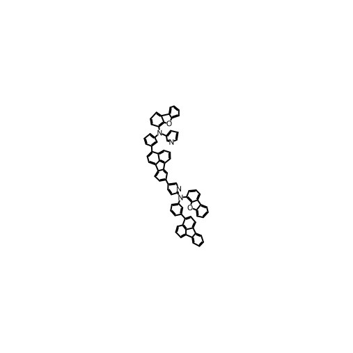 c1cncc(N(c2cccc(-c3ccc4c5c(cccc35)-c3cc(-c5ccc(N(c6cccc(-c7ccc8c9c(cccc79)-c7ccccc7-8)c6)c6cccc7c6oc6ccccc67)nc5)ccc3-4)c2)c2cccc3c2oc2ccccc23)c1